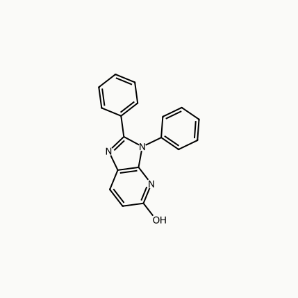 Oc1ccc2nc(-c3ccccc3)n(-c3ccccc3)c2n1